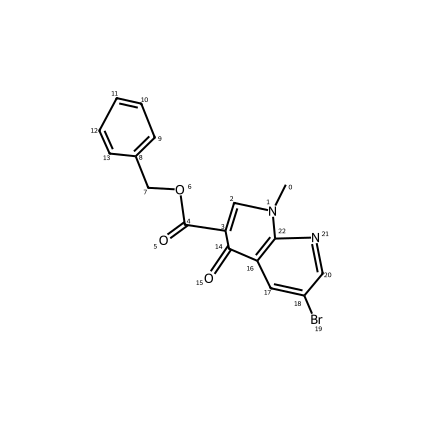 Cn1cc(C(=O)OCc2ccccc2)c(=O)c2cc(Br)cnc21